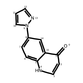 O=c1cc[nH]c2ccc(-n3cccn3)cc12